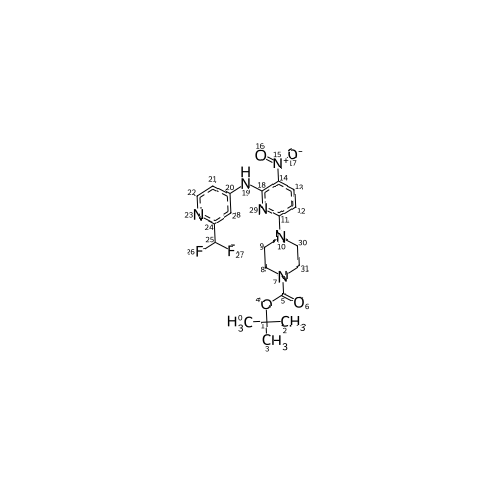 CC(C)(C)OC(=O)N1CCN(c2ccc([N+](=O)[O-])c(Nc3ccnc(C(F)F)c3)n2)CC1